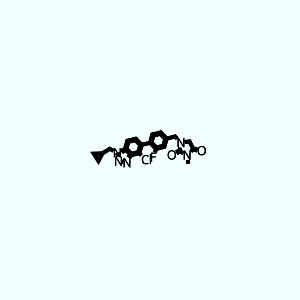 CN1C(=O)CN(Cc2ccc(-c3ccc4c(nnn4CC4CC4)c3Cl)c(F)c2)C1=O